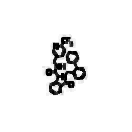 O=C(NCc1ccc(C(F)(F)F)nc1)C1c2ccccc2C(=O)N1Cc1ccccc1-c1ccccc1